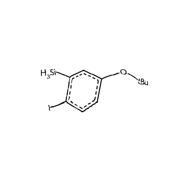 CC(C)(C)Oc1ccc(I)c([SiH3])c1